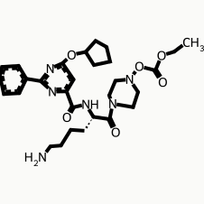 CCOC(=O)ON1CCN(C(=O)[C@H](CCCCN)NC(=O)c2cc(OC3CCCC3)nc(-c3ccccc3)n2)CC1